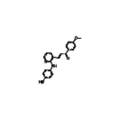 COc1ccc(C(=O)C=Cc2cccnc2Nc2ccc(O)cc2)cc1